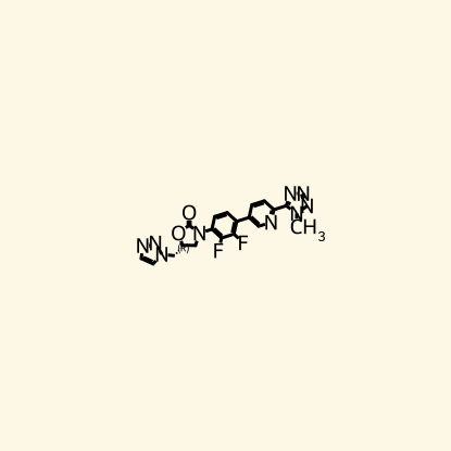 Cn1nnnc1-c1ccc(-c2ccc(N3C[C@H](Cn4ccnn4)OC3=O)c(F)c2F)cn1